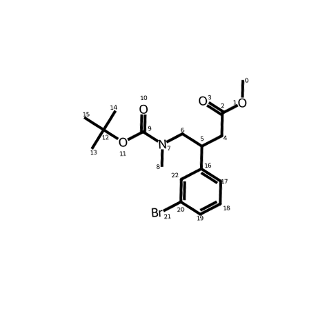 COC(=O)CC(CN(C)C(=O)OC(C)(C)C)c1cccc(Br)c1